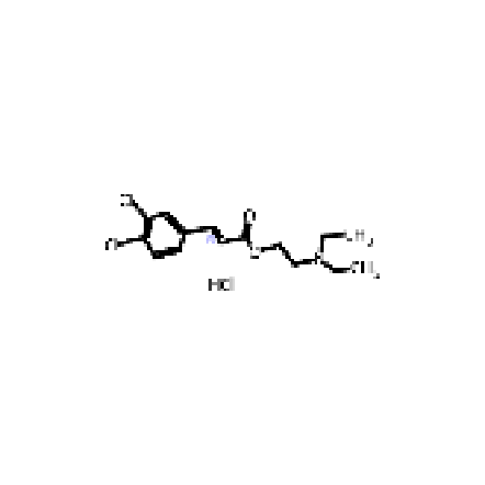 CCN(CC)CCOC(=O)/C=C/c1ccc(Cl)c(Cl)c1.Cl